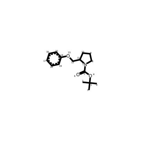 CC(C)(C)OC(=O)N1CCCC1COc1ccccc1